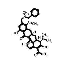 COc1c(CN(C)Cc2ccccc2)cc(O)c2c1C[C@H]1C[C@H]3[C@H](N(C)C)C(O)=C(C(N)=O)C4=CCO[C@@]43C(O)=C1C2=O